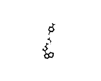 C[C@H](NC(=O)c1cc(-c2cccc3ccccc23)c[nH]1)C(=O)NCc1ccc(C(=N)N)cc1